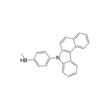 CBc1ccc(-n2c3ccccc3c3c4ccccc4ccc32)cc1